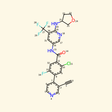 C#Cc1cnccc1-c1cc(Cl)c(C(=O)Nc2cnc(NC3CCOC3)c(C(F)(F)F)c2)cc1F